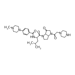 CC(C)CC(NC(=O)c1ccc(N2CCN(C)CC2)cc1)C(=O)N1CCC2C1C(=O)CN2C(=O)CN1CCNCC1